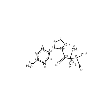 Cc1cnc([C@@H]2CCON2C(=O)C(C)(C)C(F)F)cn1